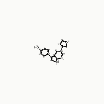 Oc1ccc(-c2c[nH]c3ncc(-c4ccsc4)cc23)cc1